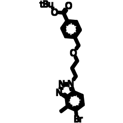 Cc1c(Br)ccc2c1nnn2CCCOCc1ccc(C(=O)OC(C)(C)C)cc1